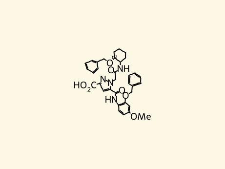 COc1ccc(NC(=O)c2cc(C(=O)O)nn2CC(=O)NC2CCCC[C@@H]2OCc2ccccc2)c(OCc2ccccc2)c1